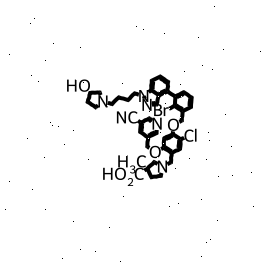 CC1(C(=O)O)CCN(Cc2cc(Cl)c(OCc3cccc(-c4cccc5c4cnn5CCCCN4CC[C@@H](O)C4)c3Br)cc2OCc2cncc(C#N)c2)C1